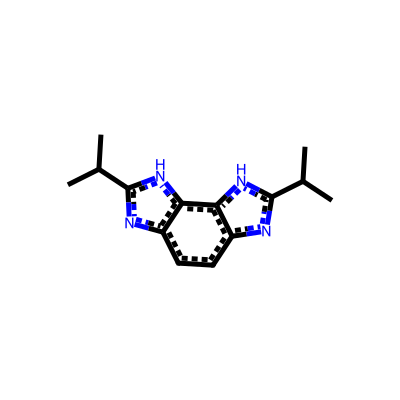 CC(C)c1nc2ccc3nc(C(C)C)[nH]c3c2[nH]1